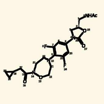 CC(=O)NC[C@H]1CN(c2cc(F)c(N3CCON(C(=O)CC4CC4)CC3)c(F)c2)C(=O)O1